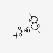 Cc1ccc2c(n1)[C@H](CNC(=O)OC(C)(C)C)C[C@@H](C)O2